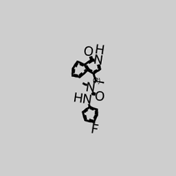 C[C@H](c1c[nH]c(=O)c2ccccc12)N(C)C(=O)Nc1ccc(F)cc1